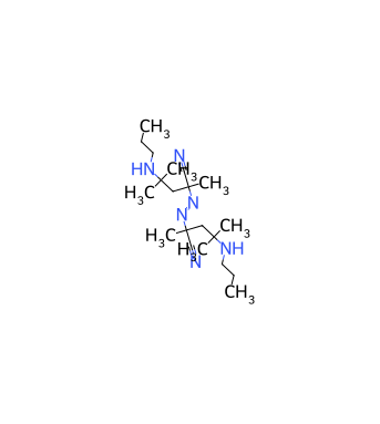 CCCNC(C)(C)CC(C)(C#N)/N=N/C(C)(C#N)CC(C)(C)NCCC